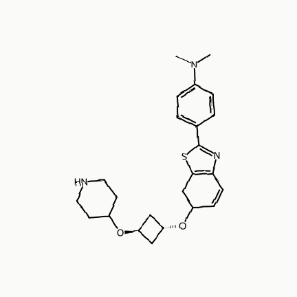 CN(C)c1ccc(-c2nc3c(s2)CC(O[C@H]2C[C@H](OC4CCNCC4)C2)C=C3)cc1